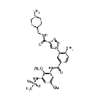 COc1c(NC(=O)c2ccc(C)c(-n3cc(C(=O)NCC4CCN(C)CC4)nn3)c2)cc(C(C)(C)C)cc1NS(C)(=O)=O